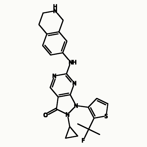 CC(C)(F)c1sccc1-n1c2nc(Nc3ccc4c(c3)CNCC4)ncc2c(=O)n1C1CC1